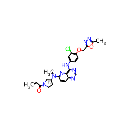 C=CC(=O)N1CC[C@H](N(C)c2ccc3ncnc(Nc4ccc(OCc5nnc(C)o5)c(Cl)c4)c3n2)C1